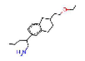 CCCC(CN)c1ccc2c(c1)CCC(CCOCC)C2